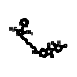 Cc1nn(CCCCCCNc2ccc3c(c2)C(=O)N(C2CCC(=O)NC2=O)C3=O)c(C)c1-c1ncccn1